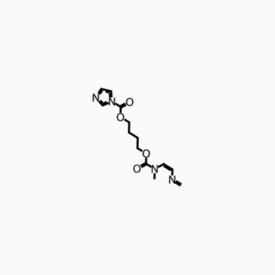 C=N/C=C\N(C)C(=O)OCCCCOC(=O)n1ccnc1